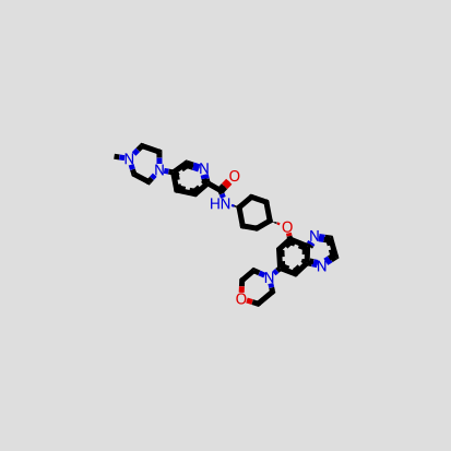 CN1CCN(c2ccc(C(=O)N[C@H]3CC[C@@H](Oc4cc(N5CCOCC5)cc5nccnc45)CC3)nc2)CC1